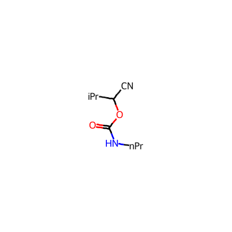 CCCNC(=O)OC(C#N)C(C)C